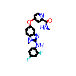 CNC(=O)c1cc(Oc2ccc3c(c2)nc(Nc2ccc(F)cc2F)n3C)ccn1